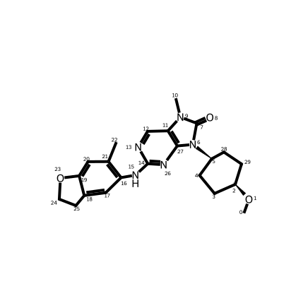 CO[C@H]1CC[C@@H](n2c(=O)n(C)c3cnc(Nc4cc5c(cc4C)OCC5)nc32)CC1